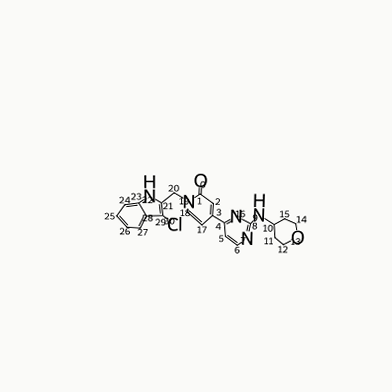 O=c1cc(-c2ccnc(NC3CCOCC3)n2)ccn1Cc1[nH]c2ccccc2c1Cl